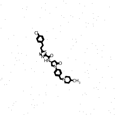 CC1CCN(Cc2ccc(N3C[C@@H](NC(=O)c4nnc(CCc5ccc(Cl)cc5)s4)CC3=O)cc2)CC1